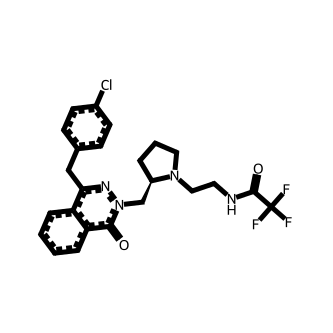 O=C(NCCN1CCC[C@@H]1Cn1nc(Cc2ccc(Cl)cc2)c2ccccc2c1=O)C(F)(F)F